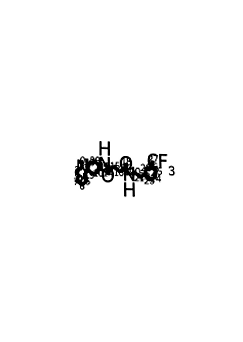 CN(C)C1(c2cccs2)CCC(NC(=O)CCC(=O)NCCc2cccc(C(F)(F)F)c2)CC1